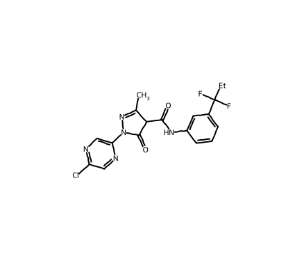 CCC(F)(F)c1cccc(NC(=O)C2C(=O)N(c3cnc(Cl)cn3)N=C2C)c1